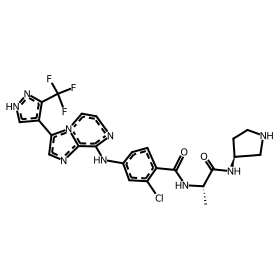 C[C@H](NC(=O)c1ccc(Nc2nccn3c(-c4c[nH]nc4C(F)(F)F)cnc23)cc1Cl)C(=O)N[C@H]1CCNC1